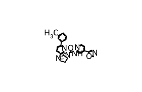 Cc1cccc(-c2ccc3c(n2)N(C(=O)Nc2cc(-c4cnco4)ccn2)C2CCN3CC2)c1